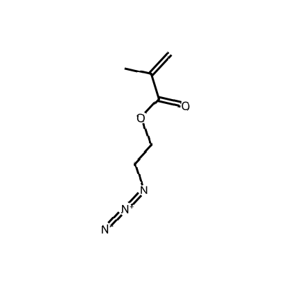 C=C(C)C(=O)OCCN=[N+]=[N-]